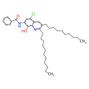 CCCCCCCCCCCc1nc2c(O)c(NC(=O)c3ccccc3)cc(Cl)c2cc1CCCCCCCCCC